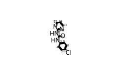 O=C(Nc1ccc(Cl)cc1)Nc1ncccn1